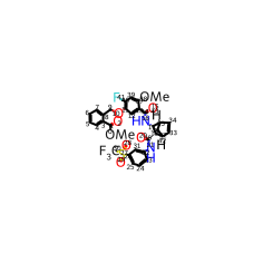 COC(=O)c1ccccc1COc1cc(C(=O)N[C@H]2[C@@H](C(=O)Nc3cccc(S(=O)(=O)C(F)(F)F)c3)[C@@H]3C=C[C@H]2C3)c(OC)cc1F